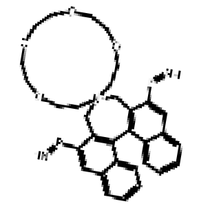 N=Pc1cc2ccccc2c2c1C[N+]1(CCOCCOCCOCCOCC1)Cc1c(P=N)cc3ccccc3c1-2